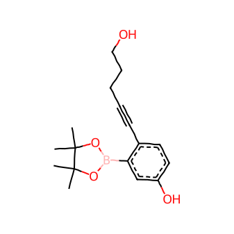 CC1(C)OB(c2cc(O)ccc2C#CCCCO)OC1(C)C